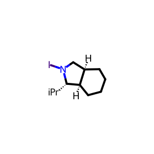 CC(C)[C@H]1[C@@H]2CCCC[C@@H]2CN1I